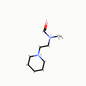 CN(C=O)CCN1CCCCC1